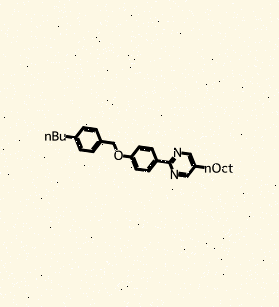 CCCCCCCCc1cnc(-c2ccc(OCc3ccc(CCCC)cc3)cc2)nc1